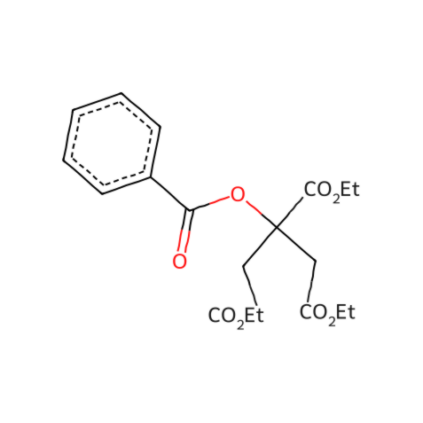 CCOC(=O)CC(CC(=O)OCC)(OC(=O)c1ccccc1)C(=O)OCC